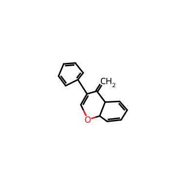 C=C1C(c2ccccc2)=COC2C=CC=CC12